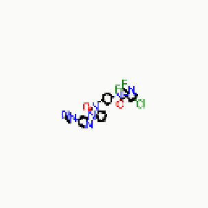 O=C(N[C@H]1CC[C@H](Cn2c(=O)n(-c3cc(-n4ccnc4)ccn3)c3ccccc32)CC1)c1cc(Cl)cnc1C(F)F